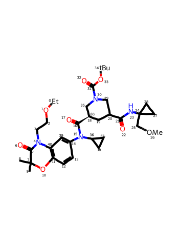 CCOCCN1C(=O)C(C)(C)Oc2ccc(N(C(=O)[C@@H]3CC(C(=O)NC4(COC)CC4)CN(C(=O)OC(C)(C)C)C3)C3CC3)cc21